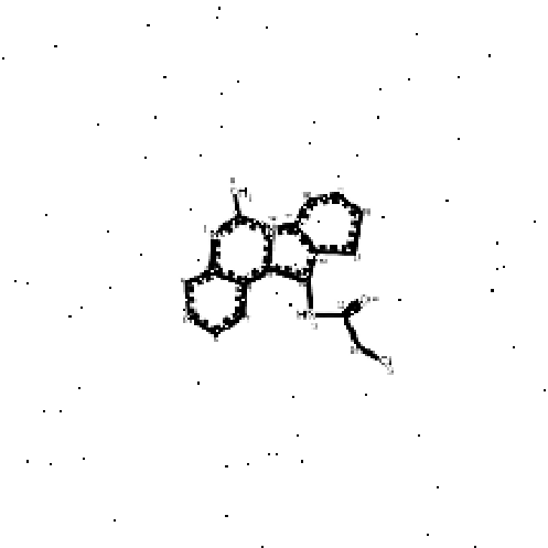 Cc1nc2ccccc2c2c(NC(=O)CCl)c3ccccc3n12